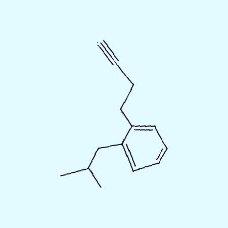 [C]#CCCc1ccccc1CC(C)C